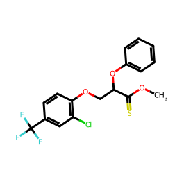 COC(=S)C(COc1ccc(C(F)(F)F)cc1Cl)Oc1ccccc1